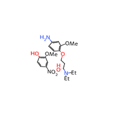 CCN(CC)[C@H](O)CCOc1ccc(N)cc1OC.COc1cc([N+](=O)[O-])ccc1O